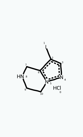 Cl.Ic1cnn2c1CNCC2